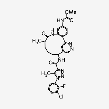 COC(=O)Nc1ccc2c(c1)NC(=O)C(C)CCC[C@H](NC(=O)c1nnn(-c3cccc(Cl)c3F)c1C)c1cnnc-2c1